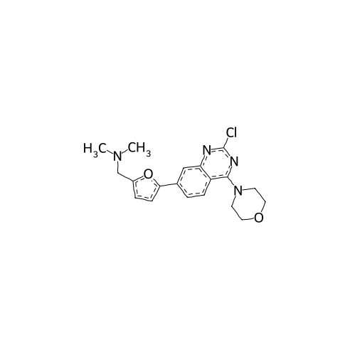 CN(C)Cc1ccc(-c2ccc3c(N4CCOCC4)nc(Cl)nc3c2)o1